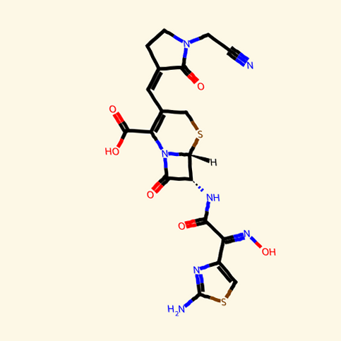 N#CCN1CCC(=CC2=C(C(=O)O)N3C(=O)[C@@H](NC(=O)C(=NO)c4csc(N)n4)[C@H]3SC2)C1=O